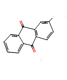 O=C(O)c1ccc2c(c1)C(=O)c1ccccc1C2=O.[Au]